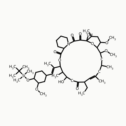 CCC1/C=C(\C)CC(C)CC(OC)C2OC(O)(C(=O)C(=O)N3CCCCC3C(=O)OC(C(C)=CC3CCC(O[Si](C)(C)C(C)(C)C)C(OC)C3)C(C)C(O)CC1=O)C(C)CC2OC